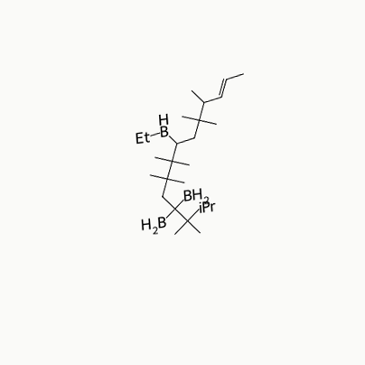 BC(B)(CC(C)(C)C(C)(C)C(BCC)CC(C)(C)C(C)C=CC)C(C)(C)C(C)C